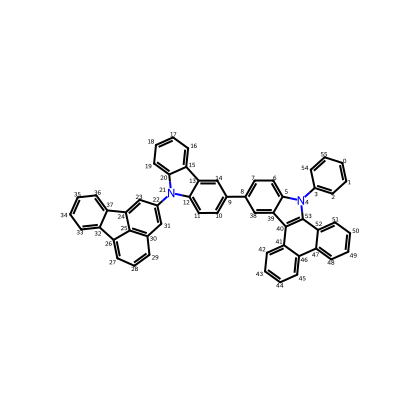 c1ccc(-n2c3ccc(-c4ccc5c(c4)c4ccccc4n5-c4cc5c6c(cccc6c4)-c4ccccc4-5)cc3c3c4ccccc4c4ccccc4c32)cc1